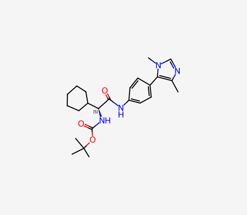 Cc1ncn(C)c1-c1ccc(NC(=O)[C@@H](NC(=O)OC(C)(C)C)C2CCCCC2)cc1